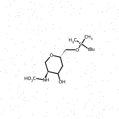 CC(C)(C)[Si](C)(C)OC[C@@H]1CC(O)[C@@H](NC(=O)O)CO1